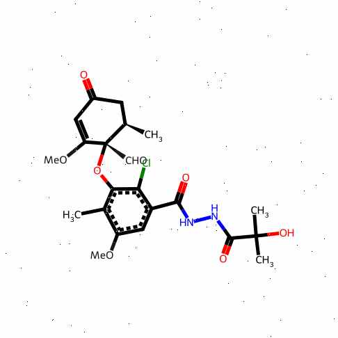 COC1=CC(=O)C[C@@H](C)[C@]1(C=O)Oc1c(C)c(OC)cc(C(=O)NNC(=O)C(C)(C)O)c1Cl